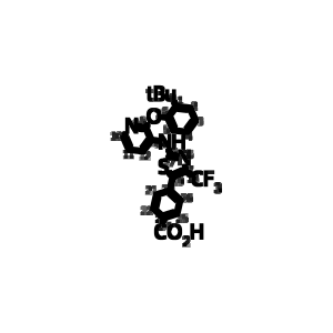 CC(C)(C)c1ccccc1Oc1ncccc1Nc1nc(C(F)(F)F)c(-c2ccc(C(=O)O)cc2)s1